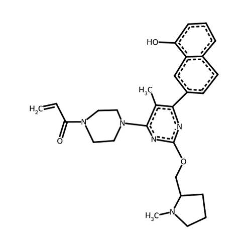 C=CC(=O)N1CCN(c2nc(OCC3CCCN3C)nc(-c3ccc4cccc(O)c4c3)c2C)CC1